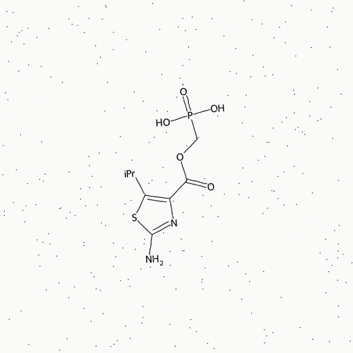 CC(C)c1sc(N)nc1C(=O)OCP(=O)(O)O